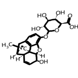 CN1CC[C@]23c4c5ccc(OC6O[C@H](C(=O)O)[C@@H](O)[C@H](O)[C@H]6O)c4O[C@H]2[C@@H](O)C=C[C@H]3[C@H]1C5